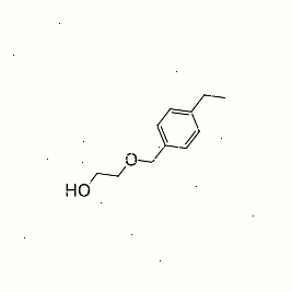 CCc1ccc(COCCO)cc1